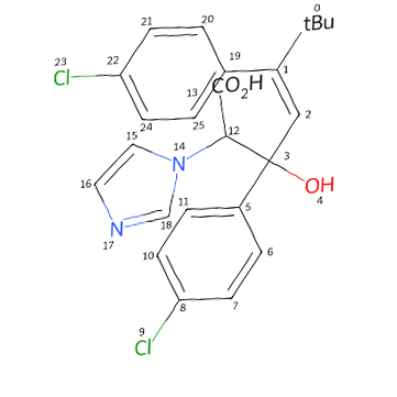 CC(C)(C)C(=CC(O)(c1ccc(Cl)cc1)C(C(=O)O)n1ccnc1)c1ccc(Cl)cc1